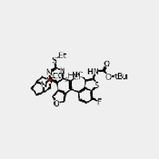 CCSc1nc(N2C3CCC2CN(C(=O)O)C3)c2c3c(c(-c4ccc(F)c5sc(NC(=O)OC(C)(C)C)c(C#N)c45)c(Cl)c2n1)COC3